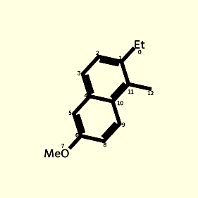 CCc1ccc2cc(OC)ccc2c1C